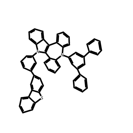 c1ccc(-c2cc(-c3ccccc3)cc(N3c4ccccc4-c4c(n(-c5cccc(-c6ccc7sc8ccccc8c7c6)c5)c5ccccc45)-c4ccccc43)c2)cc1